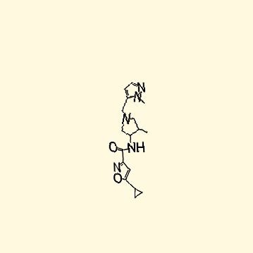 CC1CN(Cc2ccnn2C)CC1NC(=O)c1cc(C2CC2)on1